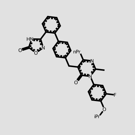 CCCc1nc(C)n(-c2ccc(OC(C)C)c(F)c2)c(=O)c1Cc1ccc(-c2ccccc2-c2noc(=O)[nH]2)cc1